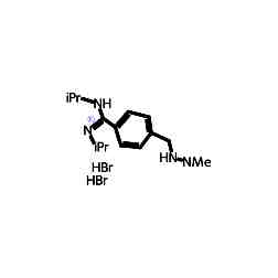 Br.Br.CNNCc1ccc(/C(=N\C(C)C)NC(C)C)cc1